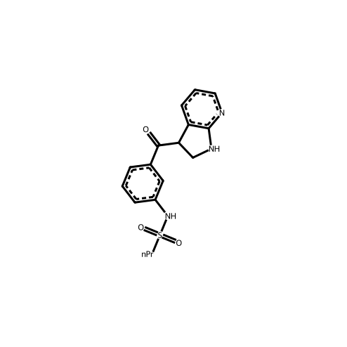 CCCS(=O)(=O)Nc1cccc(C(=O)C2CNc3ncccc32)c1